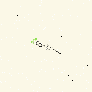 CCCCCCC[C@@H]1CC[C@@H]2CC(c3ccc4cc(C(F)(F)F)c(F)cc4c3)CCC2C1